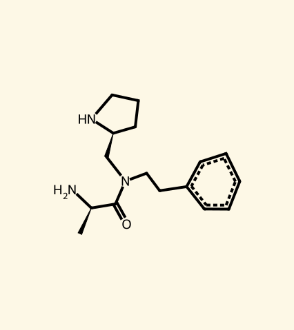 C[C@@H](N)C(=O)N(CCc1ccccc1)C[C@@H]1CCCN1